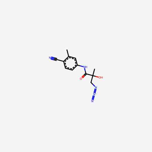 Cc1cc(NC(=O)C(C)(O)CN=[N+]=[N-])ccc1C#N